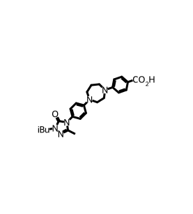 CCC(C)n1nc(C)n(-c2ccc(N3CCCN(c4ccc(C(=O)O)cc4)CC3)cc2)c1=O